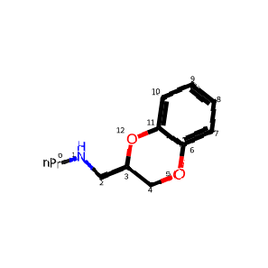 CCCNCC1COc2cc[c]cc2O1